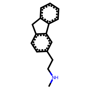 CNCCc1ccc2c(c1)-c1ccccc1C2